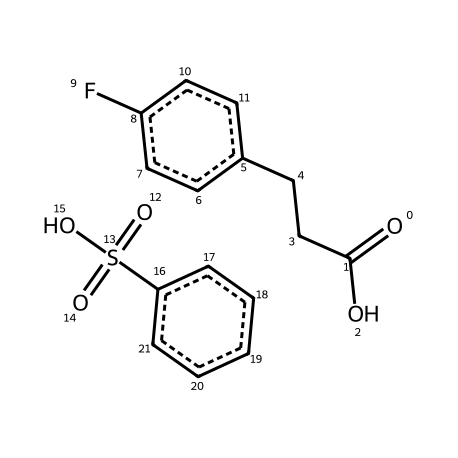 O=C(O)CCc1ccc(F)cc1.O=S(=O)(O)c1ccccc1